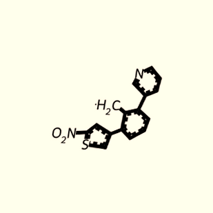 [CH2]c1c(-c2cccnc2)cccc1-c1csc([N+](=O)[O-])c1